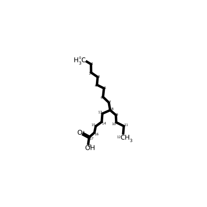 CCCCCCCCC(CCCC)CCCCC(=O)O